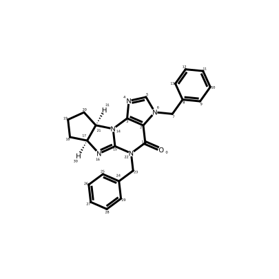 O=C1c2c(ncn2Cc2ccccc2)N2C(=N[C@H]3CCC[C@H]32)N1Cc1ccccc1